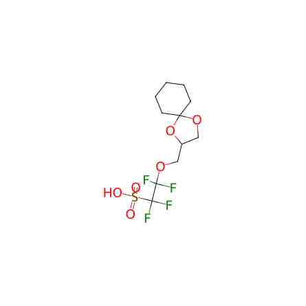 O=S(=O)(O)C(F)(F)C(F)(F)OCC1COC2(CCCCC2)O1